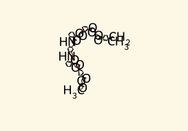 C=C(C)c1ccc(C(=O)OCCOC(=O)c2cccc(C(=O)OCc3ccccc3C(=O)NCc3cccc(CNC(=O)c4ccccc4COC(=O)c4ccc(C(=O)OCCOC)cc4)c3)c2)cc1